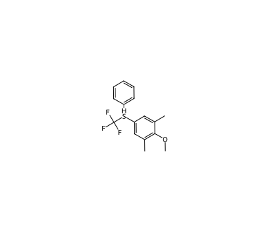 COc1c(C)cc([SH](c2ccccc2)C(F)(F)F)cc1C